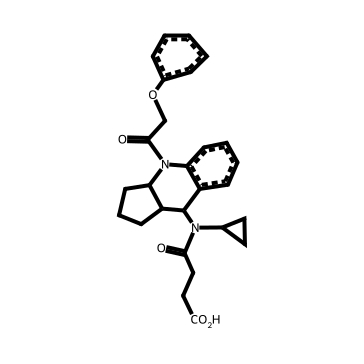 O=C(O)CCC(=O)N(C1CC1)C1c2ccccc2N(C(=O)COc2ccccc2)C2CCCC21